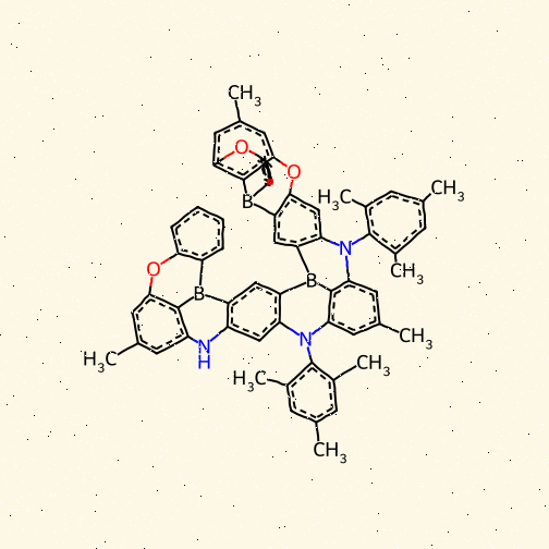 Cc1cc(C)c(N2c3cc4c(cc3B3c5cc6c(cc5N(c5c(C)cc(C)cc5C)c5cc(C)cc2c53)Oc2cc(C)cc3c2B6c2ccccc2O3)B2c3ccccc3Oc3cc(C)cc(c32)N4)c(C)c1